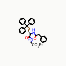 CCOC(=O)CNC(=O)[C@H](CSC(c1ccccc1)(c1ccccc1)c1ccccc1)NC(=O)Cc1ccccc1